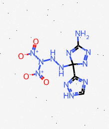 NC1=NC(NNN([N+](=O)[O-])[N+](=O)[O-])(c2nc[nH]n2)N=N1